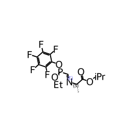 CCOP(/C=N/[C@@H](C)C(=O)OC(C)C)Oc1c(F)c(F)c(F)c(F)c1F